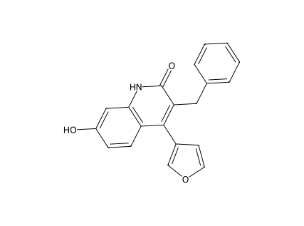 O=c1[nH]c2cc(O)ccc2c(-c2ccoc2)c1Cc1ccccc1